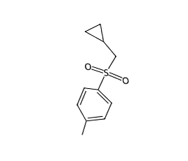 Cc1ccc(S(=O)(=O)CC2CC2)cc1